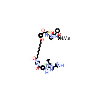 CN[C@@H](C)C(=O)N[C@H](C(=O)N1CCC[C@H]1c1nc(C(=O)c2cccc(OCCCCCCCCCCC(=O)N3CCN(C(=O)c4ccc(Nc5nc(C6CC6)cn6c(-c7cn[nH]c7)cnc56)c(F)c4)CC3)c2)cs1)C1CCCCC1